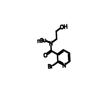 CCCCN(CCO)C(=O)c1cccnc1Br